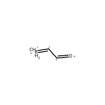 C.C=CC=O